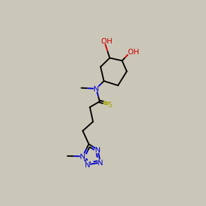 CN(C(=S)CCCc1nnnn1C)C1CCC(O)C(O)C1